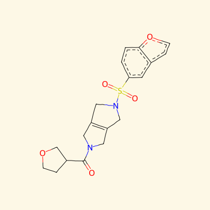 O=C(C1CCOC1)N1CC2=C(C1)CN(S(=O)(=O)c1ccc3occc3c1)C2